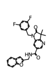 CC1(C)C(=O)N(Cc2cc(F)cc(F)c2)c2cc(C(=O)NCc3cc4ccccc4o3)cnc21